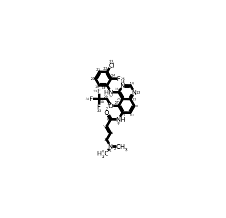 CN(C)C/C=C/C(=O)Nc1ccc2ncnc(Nc3cccc(Cl)c3F)c2c1OCC(F)(F)F